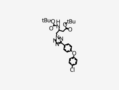 CC(C)(C)OC(=O)CC(Cn1nnc(-c2ccc(Oc3ccc(Cl)cc3)cc2)n1)NC(=O)OC(C)(C)C